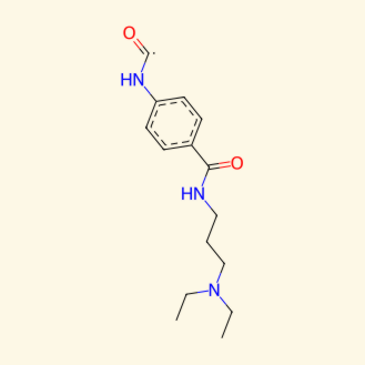 CCN(CC)CCCNC(=O)c1ccc(N[C]=O)cc1